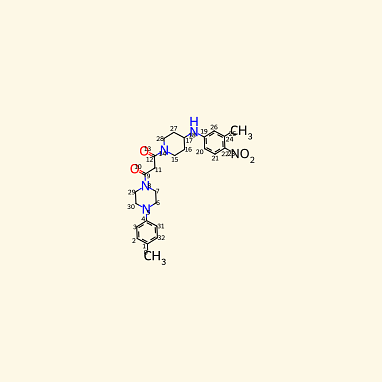 Cc1ccc(N2CCN(C(=O)CC(=O)N3CCC(Nc4ccc([N+](=O)[O-])c(C)c4)CC3)CC2)cc1